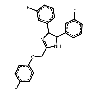 Fc1ccc(OCC2=NC(c3cccc(F)c3)C(c3cccc(F)c3)N2)cc1